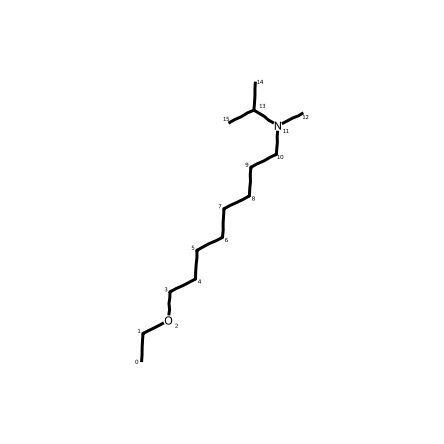 CCOCCCCCCCCN(C)C(C)C